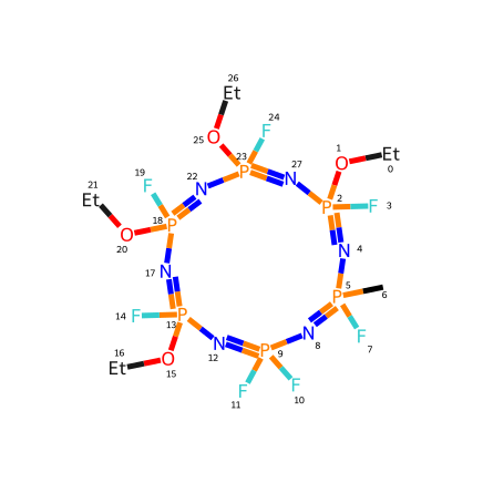 CCOP1(F)=NP(C)(F)=NP(F)(F)=NP(F)(OCC)=NP(F)(OCC)=NP(F)(OCC)=N1